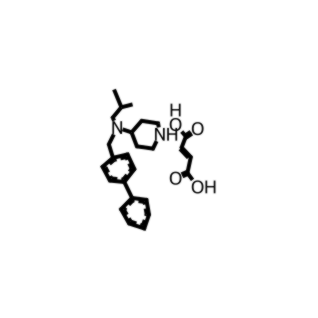 CC(C)CN(Cc1ccc(-c2ccccc2)cc1)C1CCNCC1.O=C(O)C=CC(=O)O